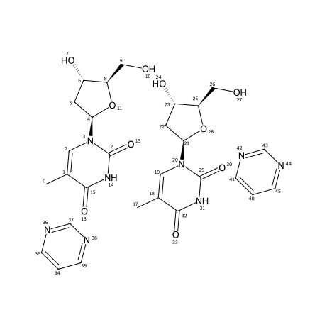 Cc1cn([C@H]2C[C@H](O)[C@@H](CO)O2)c(=O)[nH]c1=O.Cc1cn([C@H]2C[C@H](O)[C@@H](CO)O2)c(=O)[nH]c1=O.c1cncnc1.c1cncnc1